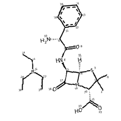 CC1(C)S[C@@H]2[C@H](NC(=O)[C@H](N)c3ccccc3)C(=O)N2[C@H]1C(=O)O.CCN(CC)CC